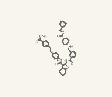 COC(=O)c1ccc(CCc2ccc(NC(=O)c3c(NC(=O)c4cccc(CN[C@H]5CC[C@@H](C(=O)OCc6ccccc6)CC5)c4)sc4c3CCCC4)cc2)cc1